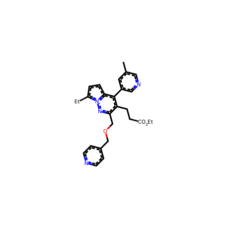 CCOC(=O)CCc1c(COCc2ccncc2)nn2c(CC)ccc2c1-c1cncc(C)c1